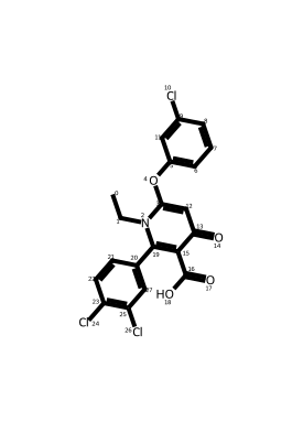 CCn1c(Oc2cccc(Cl)c2)cc(=O)c(C(=O)O)c1-c1ccc(Cl)c(Cl)c1